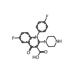 O=C(O)c1c(N2CCNCC2)n(-c2ccc(F)cc2)c2ccc(F)cc2c1=O